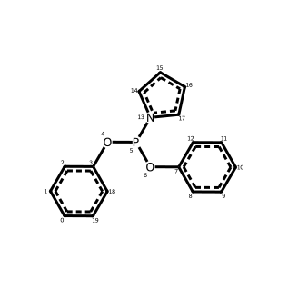 c1ccc(OP(Oc2ccccc2)n2cccc2)cc1